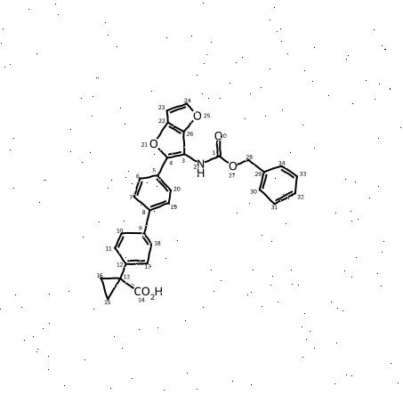 O=C(Nc1c(-c2ccc(-c3ccc(C4(C(=O)O)CC4)cc3)cc2)oc2ccoc12)OCc1ccccc1